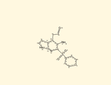 Nc1c(S(=O)(=O)c2ccccc2)nc2[nH]ccc2c1CC=O